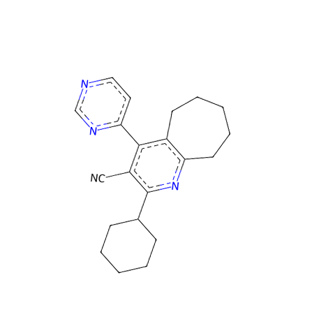 N#Cc1c(C2CCCCC2)nc2c(c1-c1ccncn1)CCCCC2